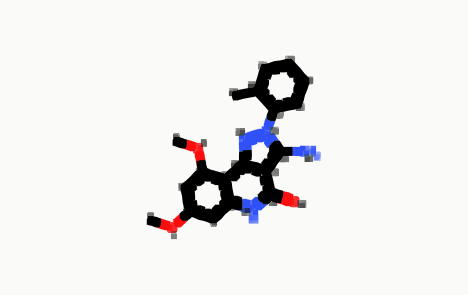 COc1cc(OC)c2c(c1)[nH]c(=O)c1c(N)n(-c3ccccc3C)nc12